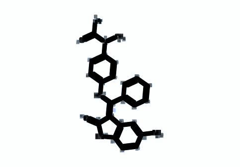 CCCC(=O)N(C)c1ccc(N/C(=C2\C(=O)Nc3ccc(N)cc32)c2ccccc2)cc1